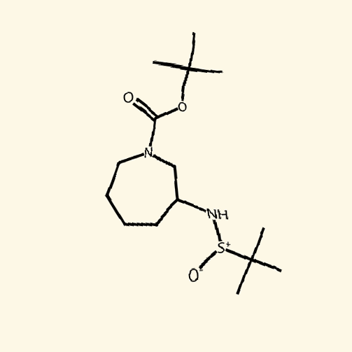 CC(C)(C)OC(=O)N1CCCCC(N[S+]([O-])C(C)(C)C)C1